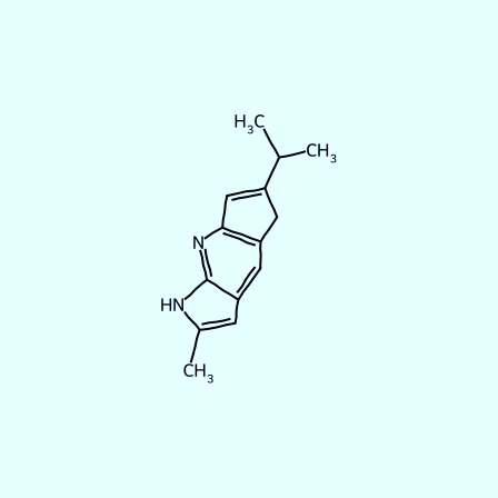 Cc1cc2cc3c(nc2[nH]1)C=C(C(C)C)C3